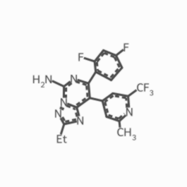 CCc1nc2c(-c3cc(C)nc(C(F)(F)F)c3)c(-c3ccc(F)cc3F)nc(N)n2n1